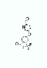 O=Cc1ccc(Oc2ccc(C=O)c(C(F)(F)F)c2)cn1